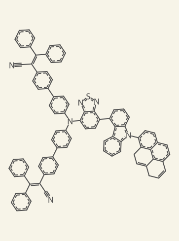 N#CC(=C(c1ccccc1)c1ccccc1)c1ccc(-c2ccc(N(c3ccc(-c4ccc(C(C#N)=C(c5ccccc5)c5ccccc5)cc4)cc3)c3ccc(-c4cccc5c4c4ccccc4n5-c4ccc5ccc6c7c5c4CC=C7CC=C6)c4nsnc34)cc2)cc1